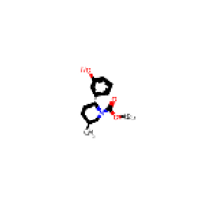 C[C@H]1CC[C@H](c2cccc(O)c2)N(C(=O)OC(C)(C)C)C1